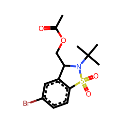 CC(=O)OCC1c2cc(Br)ccc2S(=O)(=O)N1C(C)(C)C